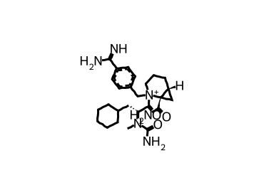 CN(C(N)=O)[C@H](CC1CCCCC1)C(=O)[N+]1(Cc2ccc(C(=N)N)cc2)CCC[C@@H]2C[C@@]21C(N)=O